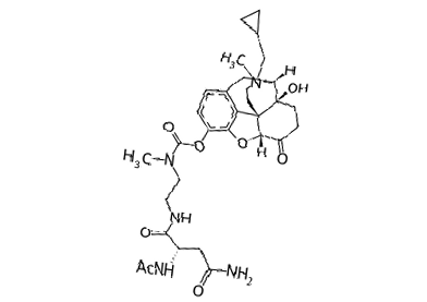 CC(=O)N[C@@H](CC(N)=O)C(=O)NCCN(C)C(=O)Oc1ccc2c3c1O[C@H]1C(=O)CC[C@@]4(O)[C@@H](C2)[N+](C)(CC2CC2)CC[C@]314